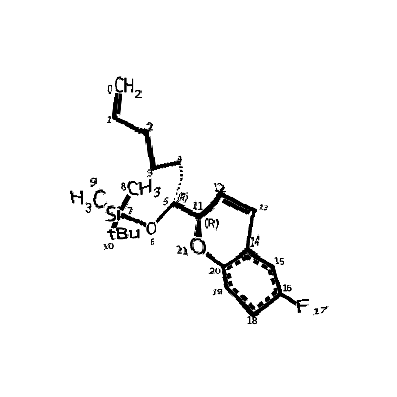 C=CCCC[C@@H](O[Si](C)(C)C(C)(C)C)[C@H]1C=Cc2cc(F)ccc2O1